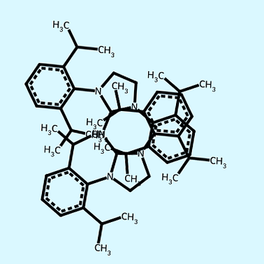 CC(C)c1cccc(C(C)C)c1N1CCN(c2c(C(C)C)cccc2C(C)C)C1NC1N(c2c(C(C)C)cccc2C(C)C)CCN1c1c(C(C)C)cccc1C(C)C